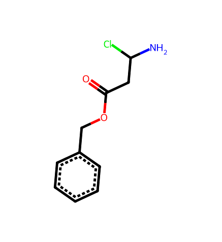 NC(Cl)CC(=O)OCc1ccccc1